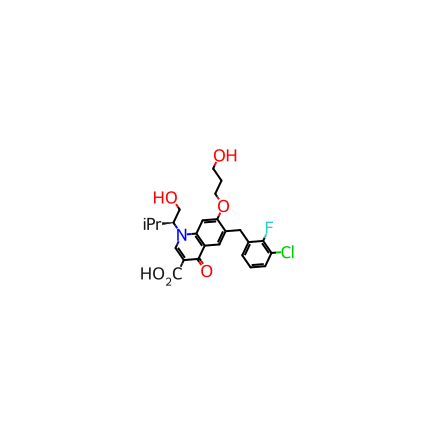 CC(C)[C@@H](CO)n1cc(C(=O)O)c(=O)c2cc(Cc3cccc(Cl)c3F)c(OCCCO)cc21